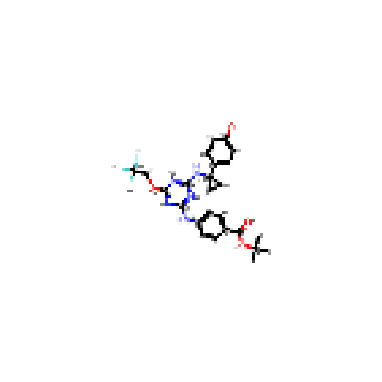 CC(C)(C)OC(=O)c1ccc(Nc2nc(NC3(c4ccc(O)cc4)CC3)nc(OCC(F)(F)F)n2)cc1